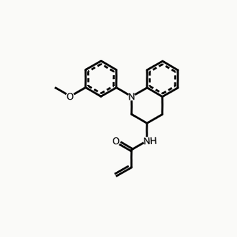 C=CC(=O)NC1Cc2ccccc2N(c2cccc(OC)c2)C1